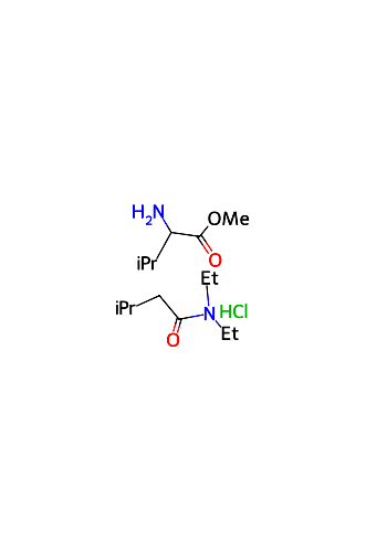 CCN(CC)C(=O)CC(C)C.COC(=O)C(N)C(C)C.Cl